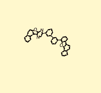 c1cc(-c2cccc(-c3cccc4c3oc3c5ccccc5ccc43)c2)cc(-c2cnc3c(n2)oc2ccc4ccccc4c23)c1